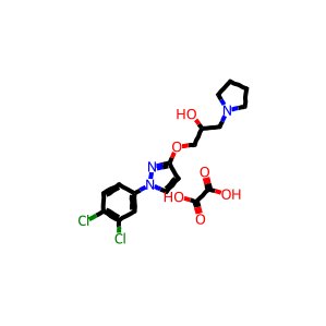 O=C(O)C(=O)O.OC(COc1ccn(-c2ccc(Cl)c(Cl)c2)n1)CN1CCCC1